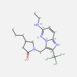 CCCC1CC(=O)N(Cc2c(C(F)(F)F)nc3ccc(NCC)nn23)C1